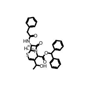 CC(O)C1=CS[C@H]2[C@H](NC(=O)Cc3ccccc3)C(=O)N2C1C(=O)OC(c1ccccc1)c1ccccc1